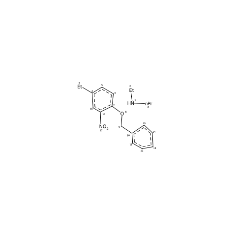 CCCNCC.CCc1ccc(OCc2ccccc2)c([N+](=O)[O-])c1